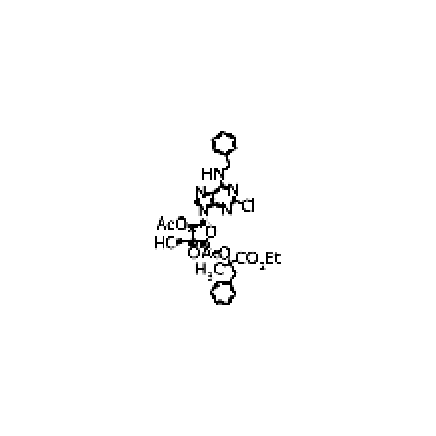 C#C[C@@]1(OC(C)=O)[C@@H](COC(C)(Cc2ccccc2)C(=O)OCC)O[C@@H](n2cnc3c(NCc4ccccc4)nc(Cl)nc32)[C@@H]1OC(C)=O